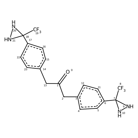 O=C(Cc1ccc(C2(C(F)(F)F)NN2)cc1)Cc1ccc(C2(C(F)(F)F)NN2)cc1